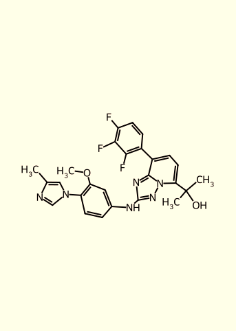 COc1cc(Nc2nc3c(-c4ccc(F)c(F)c4F)ccc(C(C)(C)O)n3n2)ccc1-n1cnc(C)c1